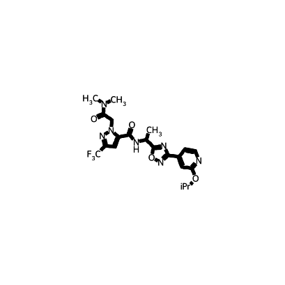 CC(C)Oc1cc(-c2noc(C(C)NC(=O)c3cc(C(F)(F)F)nn3CC(=O)N(C)C)n2)ccn1